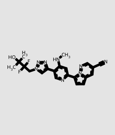 CNc1cc(-c2ccc3cc(C#N)cnn23)ncc1-c1cn(CC(F)(F)C(C)(C)O)nn1